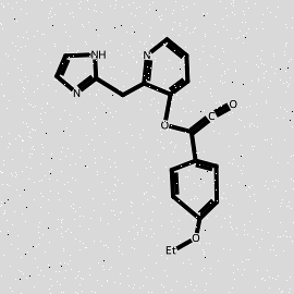 CCOc1ccc(C(=C=O)Oc2cccnc2Cc2ncc[nH]2)cc1